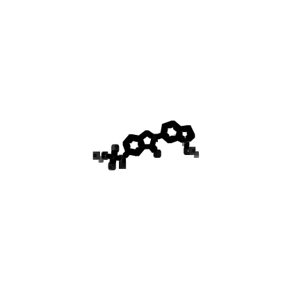 Cn1ccc2ccc(N3Cc4ccc(NS(C)(=O)=O)cc4C3=O)cc21